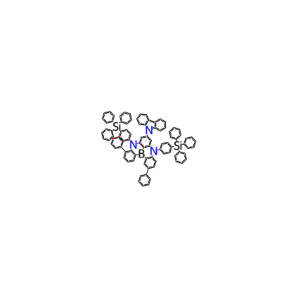 c1ccc(-c2ccc3c(c2)B2c4cccc(-c5ccccc5)c4N(c4ccc([Si](c5ccccc5)(c5ccccc5)c5ccccc5)cc4)c4cc(-n5c6ccccc6c6ccccc65)cc(c42)N3c2ccc([Si](c3ccccc3)(c3ccccc3)c3ccccc3)cc2)cc1